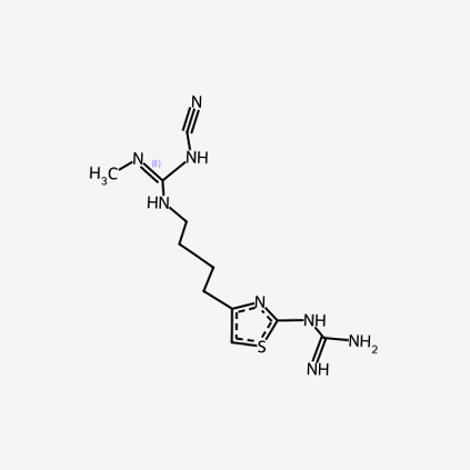 C/N=C(/NC#N)NCCCCc1csc(NC(=N)N)n1